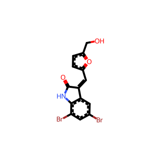 O=C1Nc2c(Br)cc(Br)cc2C1=Cc1ccc(CO)o1